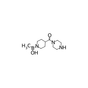 CB(O)N1CCC(C(=O)N2CCNCC2)CC1